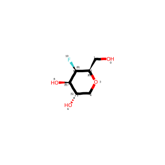 OC[C@H]1O[CH][C@H](O)[C@@H](O)[C@H]1F